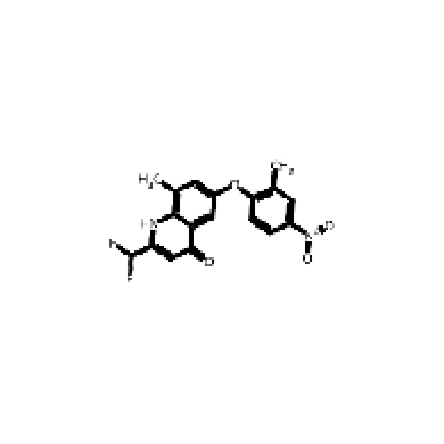 Cc1cc([N+](=O)[O-])ccc1Oc1cc(C)c2[nH]c(C(F)F)cc(=O)c2c1